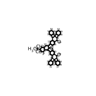 CC(C)(C)c1ccc2c(c1)cc1c3cc4c(cc3n3c5cc6c(cc5c2c13)C1c2ccccc2C12c1ccccc1C2C6=O)C(=O)C1c2ccccc2C12c1ccccc1C42